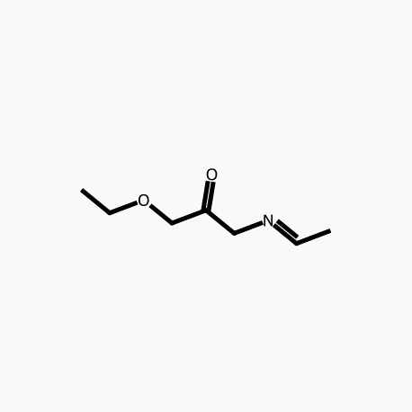 CC=NCC(=O)COCC